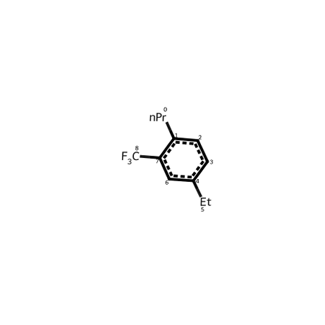 CCCc1ccc(CC)cc1C(F)(F)F